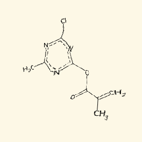 C=C(C)C(=O)Oc1nc(C)nc(Cl)n1